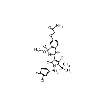 COP1(=O)N=C(C2=C(O)C(C(C)(C)C)N(Cc3ccc(F)c(Cl)c3)C2=O)Nc2ccc(OCC(N)=O)cc21